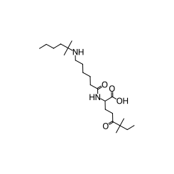 CCCCC(C)(C)NCCCCCC(=O)NC(CCC(=O)C(C)(C)CC)C(=O)O